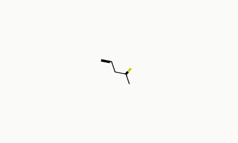 C=CCC(C)=S